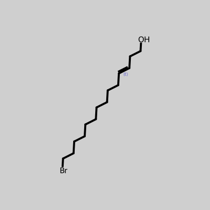 OCC/C=C/CCCCCCCCCCBr